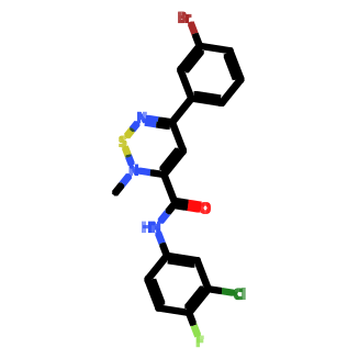 CN1SN=C(c2cccc(Br)c2)C=C1C(=O)Nc1ccc(F)c(Cl)c1